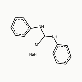 ClC(Nc1ccccc1)Nc1ccccc1.[NaH]